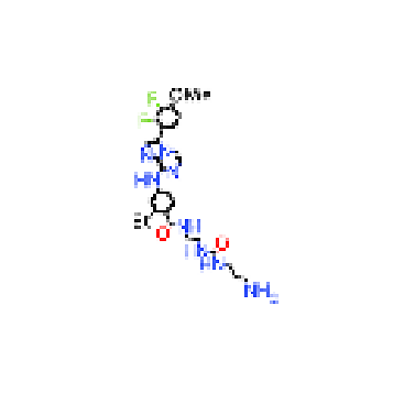 CCc1cc(Nc2nccn3c(-c4ccc(OC)c(F)c4F)cnc23)ccc1C(=O)NCCNC(=O)NCCCN